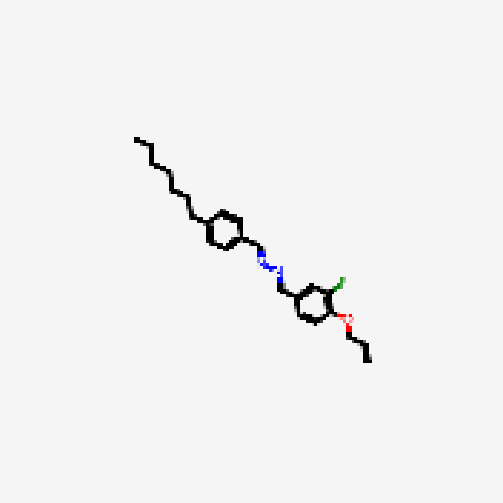 C=CCOc1ccc(C=NN=Cc2ccc(CCCCCCC)cc2)cc1F